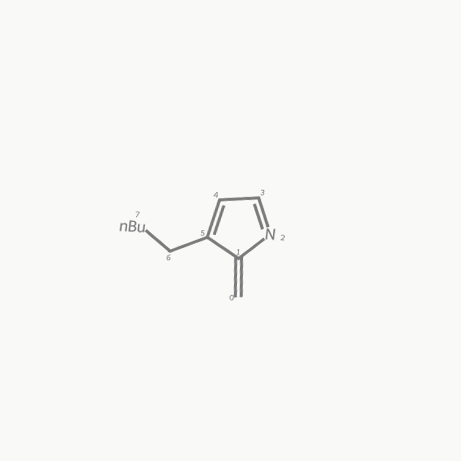 C=C1N=CC=C1CCCCC